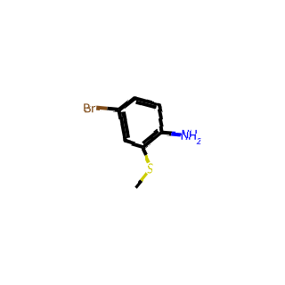 CSc1cc(Br)ccc1N